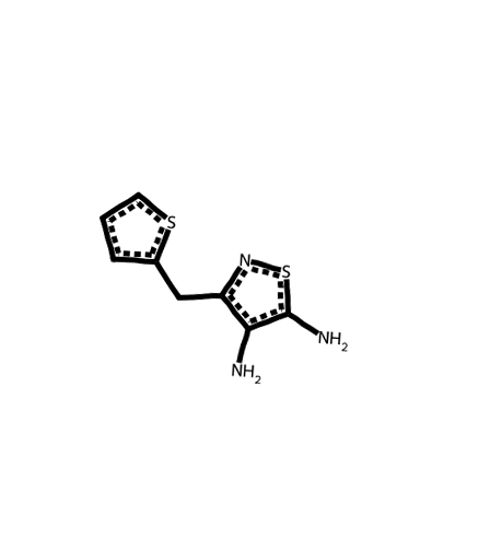 Nc1snc(Cc2cccs2)c1N